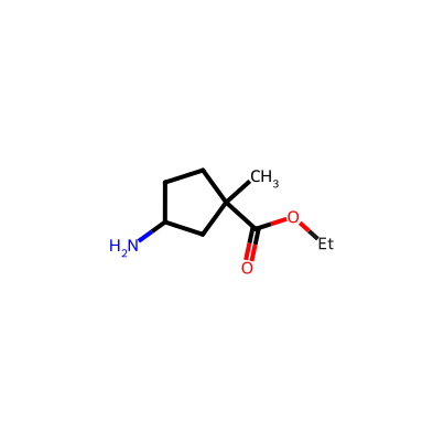 CCOC(=O)C1(C)CCC(N)C1